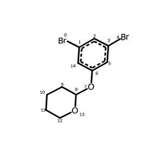 Brc1cc(Br)cc(OC2CCCCO2)c1